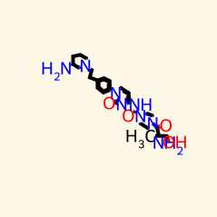 CC(N)(CO)C(=O)N1CCN(C(=O)Nc2ccn(-c3ccc(CCN4CCC[C@@H](N)C4)cc3)c(=O)n2)CC1